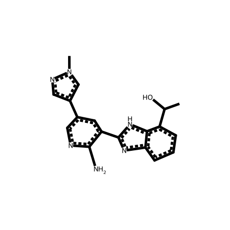 CC(O)c1cccc2nc(-c3cc(-c4cnn(C)c4)cnc3N)[nH]c12